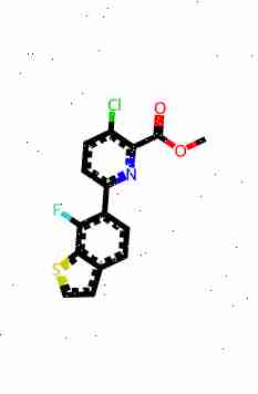 COC(=O)c1nc(-c2ccc3ccsc3c2F)ccc1Cl